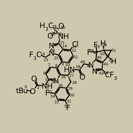 CC(C)(C)OC(=O)Nc1ccc(-c2ccc(Cl)c3c(NS(C)(=O)=O)nn(CC(F)(F)F)c23)c([C@H](Cc2cc(F)cc(F)c2)NC(=O)Cn2nc(C(F)(F)F)c3c2C(F)(F)[C@@H]2C[C@H]32)n1